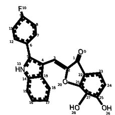 O=C1C(=Cc2c(-c3ccc(F)cc3)[nH]c3ccccc23)Oc2c1ccc(O)c2O